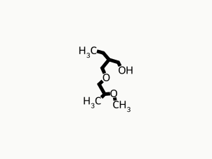 CCC(CO)COCC(C)OC